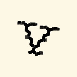 CCOC(C)N(CCPCCC(OC)OC)CCPCCC(OC)OC